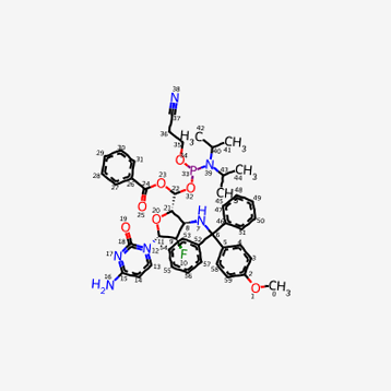 COc1ccc(C(N[C@H]2[C@@H](F)[C@H](n3ccc(N)nc3=O)O[C@@H]2C(OC(=O)c2ccccc2)OP(OCCC#N)N(C(C)C)C(C)C)(c2ccccc2)c2ccccc2)cc1